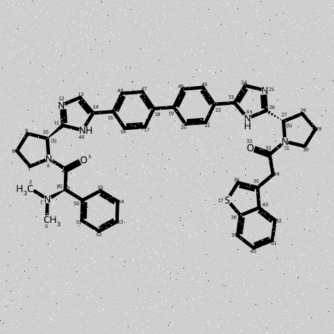 CN(C)[C@@H](C(=O)N1CCC[C@H]1c1ncc(-c2ccc(-c3ccc(-c4cnc([C@@H]5CCCN5C(=O)Cc5csc6ccccc56)[nH]4)cc3)cc2)[nH]1)c1ccccc1